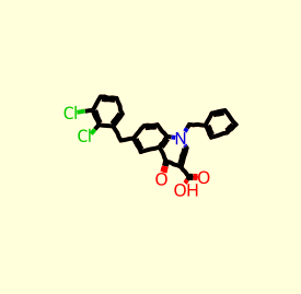 O=C(O)c1cn(Cc2ccccc2)c2ccc(Cc3cccc(Cl)c3Cl)cc2c1=O